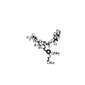 COCCCOc1cc(C[C@@H](C[C@H]2[C@H](C[C@H](C(=O)NCC(C)(C)C(N)=O)C(C)C)OCN2C(=O)OCOC(=O)C2(CN)CC2)C(C)C)ccc1OC.O=C(O)C(F)(F)F